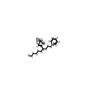 CCCCCCC(CCC[n+]1ccccc1)c1conn1.[Br-]